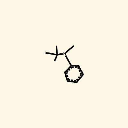 CN(c1ccccc1)C(C)(C)I